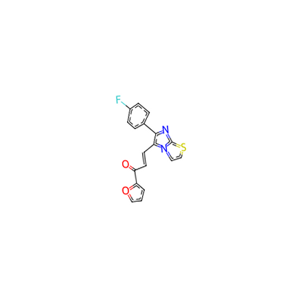 O=C(C=Cc1c(-c2ccc(F)cc2)nc2sccn12)c1ccco1